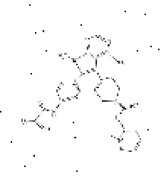 C=C(C)C(=O)Nc1ccc(-c2c(C3=CC[C@H](C(=O)N4CCc5ccccc54)CC3)c3c(N)ncnc3n2C)cc1